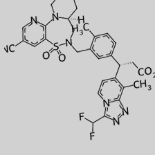 Cc1ccc([C@H](CC(=O)O)c2ccn3c(C(F)F)nnc3c2C)cc1CN1C[C@@H]2CCCCN2c2ncc(C#N)cc2S1(=O)=O